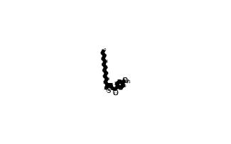 CCCCCCCCCCCCc1csc(C(=O)c2ccc(OC)cc2)c1